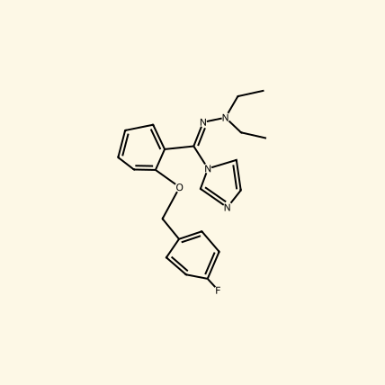 CCN(CC)N=C(c1ccccc1OCc1ccc(F)cc1)n1ccnc1